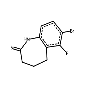 Fc1c(Br)ccc2c1CCCC(=S)N2